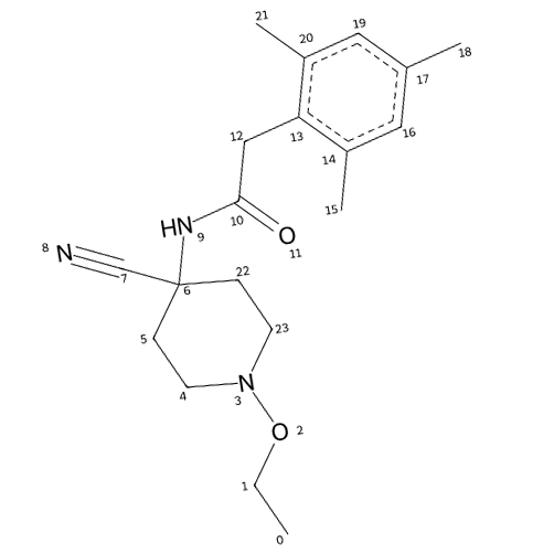 CCON1CCC(C#N)(NC(=O)Cc2c(C)cc(C)cc2C)CC1